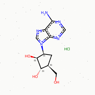 Cl.Nc1ncnc2c1ncn2[C@H]1C[C@@H](CO)[C@H](O)[C@H]1O